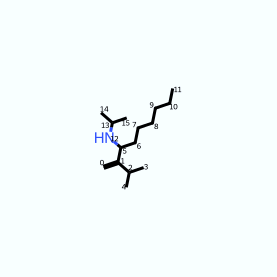 C=C(C(C)C)C(CCCCCC)NC(C)C